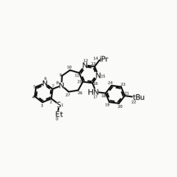 CCSc1cccnc1N1CCc2nc(C(C)C)nc(Nc3ccc(C(C)(C)C)cc3)c2CC1